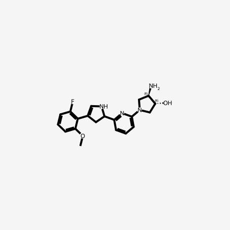 COc1cccc(F)c1C1=CNC(c2cccc(N3C[C@@H](N)[C@H](O)C3)n2)C1